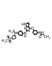 C=CC(=O)Nc1cccc(Oc2nc(Nc3ccc(N(C)[C@H]4CCN(S(C)(=O)=O)C4)cc3)nc3[nH]ccc23)c1